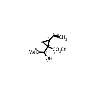 C=CC1CC1(C(=O)OCC)C(O)OC